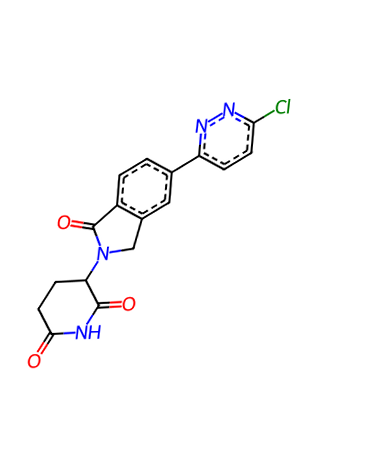 O=C1CCC(N2Cc3cc(-c4ccc(Cl)nn4)ccc3C2=O)C(=O)N1